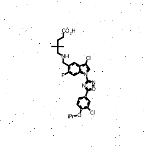 CC(C)Oc1ccc(-c2nc(-n3cc(Cl)c4cc(CNCC(C)(C)CCC(=O)O)c(F)cc43)no2)cc1Cl